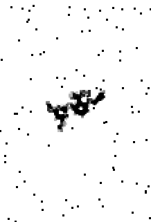 C#CCOc1cccc(Oc2nc(OC)cc(OC)n2)c1C(=O)O